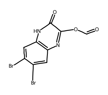 O=COc1nc2cc(Br)c(Br)cc2[nH]c1=O